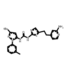 Cc1cccc(-n2nc(C(C)(C)C)cc2NC(=O)Nc2ncc(CCc3ccnc(N)c3)s2)c1